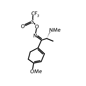 CN[C@H](C)/C(=N\OS(=O)C(F)(F)F)C1=CC=C(OC)CC1